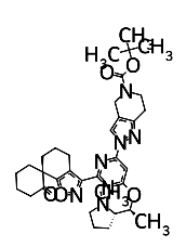 C[C@H](Oc1cc(-n2cc3c(n2)CCN(C(=O)OC(C)(C)C)C3)nc(-c2noc3c2CCC[C@@]32CCCCC2=O)n1)[C@@H]1CCCN1C